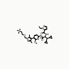 CCn1nccc1C(=O)NC(C(=O)Nc1ccc(-c2c(C)nn(COCC[Si](C)(C)C)c2C)c(OC)n1)C(C1CC1)C1CC1